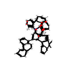 CC1(C)c2ccccc2-c2ccc(-c3ccccc3N(c3cccc(-c4cccc5c4ccc4ccccc45)c3)c3ccccc3-c3ccccc3-c3ccccc3-c3ccccc3)cc21